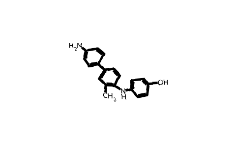 Cc1cc(-c2ccc(N)cc2)ccc1Nc1ccc(O)cc1